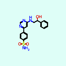 NS(=O)(=O)c1ccc(-c2cc(NC[C@@H](O)c3ccccc3)ncn2)cc1